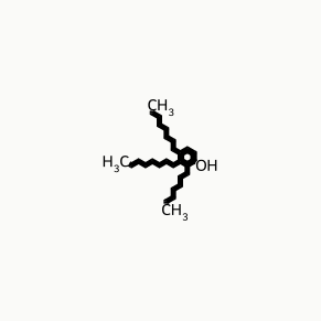 CCCCCCCCc1ccc(O)c(CCCCCCC)c1CCCCCCCC